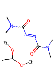 CCOC(C)OCC.CN(C)C(=O)N=NC(=O)N(C)C